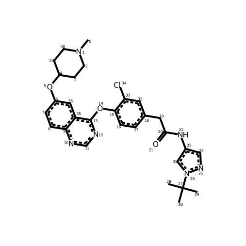 CN1CCC(Oc2ccc3ncnc(Oc4ccc(CC(=O)Nc5cnn(C(C)(C)C)c5)cc4Cl)c3c2)CC1